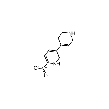 O=[N+]([O-])C1=CC=C(C2=CCNCC2)CN1